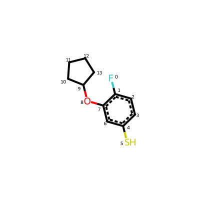 Fc1ccc(S)cc1OC1CCCC1